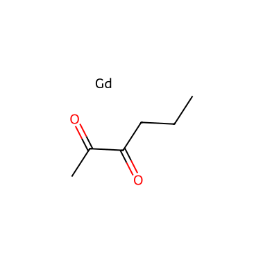 CCCC(=O)C(C)=O.[Gd]